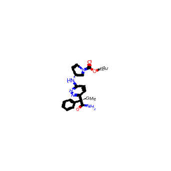 CO[C@](C(N)=O)(c1ccccc1)c1ccc(N[C@@H]2CCN(C(=O)OC(C)(C)C)C2)nn1